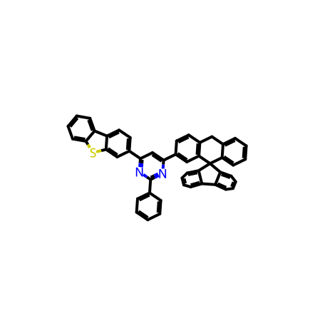 c1ccc(-c2nc(-c3ccc4c(c3)C3(c5ccccc5C4)c4ccccc4-c4ccccc43)cc(-c3ccc4c(c3)sc3ccccc34)n2)cc1